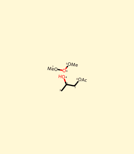 CC(=O)OCC(C)O.COOOC